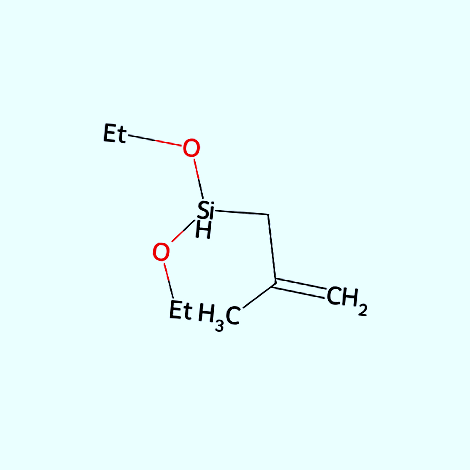 C=C(C)C[SiH](OCC)OCC